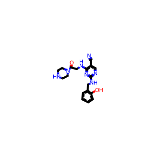 N#Cc1cnc(NCc2ccccc2O)nc1NCC(=O)N1CCNCC1